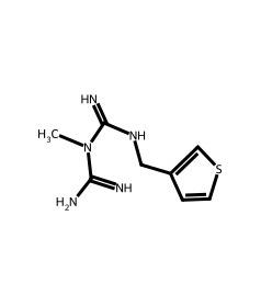 CN(C(=N)N)C(=N)NCc1ccsc1